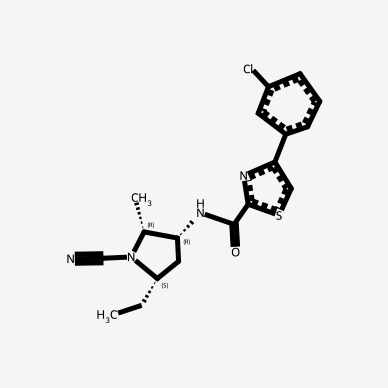 CC[C@H]1C[C@@H](NC(=O)c2nc(-c3cccc(Cl)c3)cs2)[C@@H](C)N1C#N